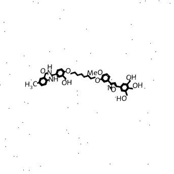 COc1ccc(-c2cc(-c3cc(CO)c(CO)c(CO)c3)on2)cc1OCCCCCCCCOc1ccc(C2NC(=O)c3cc(C)ccc3N2)cc1CO